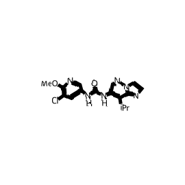 COc1ncc(NC(=O)Nc2cnn3ccnc3c2C(C)C)cc1Cl